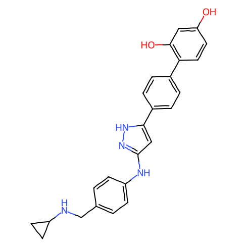 Oc1ccc(-c2ccc(-c3cc(Nc4ccc(CNC5CC5)cc4)n[nH]3)cc2)c(O)c1